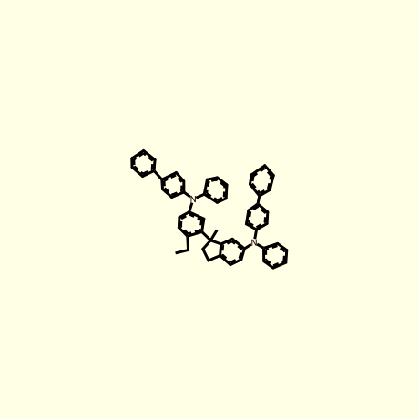 CCc1ccc(N(c2ccccc2)c2ccc(-c3ccccc3)cc2)cc1C1(C)CCc2ccc(N(c3ccccc3)c3ccc(-c4ccccc4)cc3)cc21